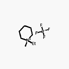 CC[N+]1(C)CCCCC1.F[B-](F)(F)F